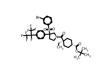 CC[C@]1(C(=O)N2CCC(c3ccc(C(F)(C(F)(F)F)C(F)(F)F)cc3)(S(=O)(=O)c3cccc(Br)c3)C2)CC[C@H](C(=O)OC(C)(C)C)CC1